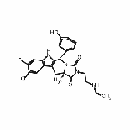 CCNCCN1C(=O)N2[C@H](c3cccc(O)c3)c3[nH]c4cc(F)c(Cl)cc4c3C[C@@]2(C)C1=O